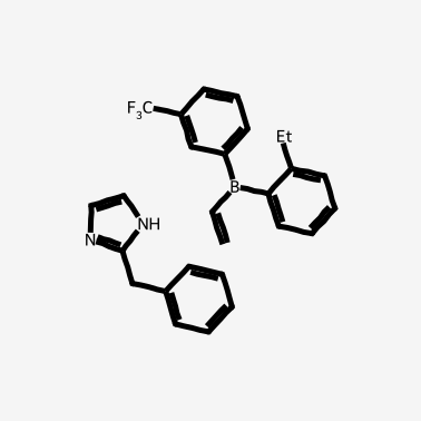 C=CB(c1cccc(C(F)(F)F)c1)c1ccccc1CC.c1ccc(Cc2ncc[nH]2)cc1